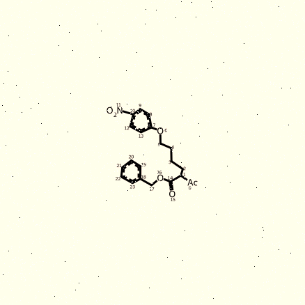 CC(=O)C(CCCCOc1ccc([N+](=O)[O-])cc1)C(=O)OCc1ccccc1